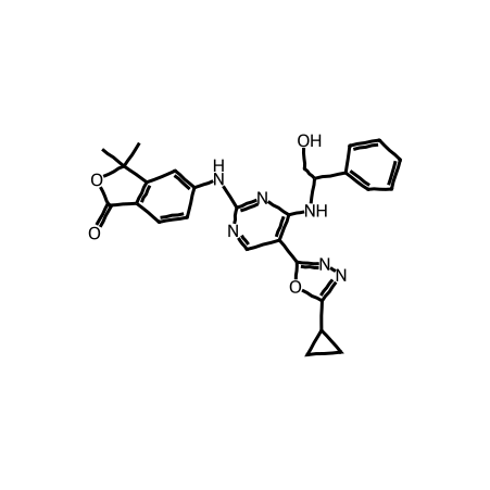 CC1(C)OC(=O)c2ccc(Nc3ncc(-c4nnc(C5CC5)o4)c(NC(CO)c4ccccc4)n3)cc21